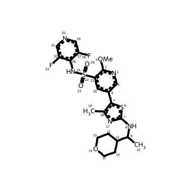 COc1ncc(-c2sc(NC(C)C3CCOCC3)nc2C)cc1S(=O)(=O)Nc1c(F)cncc1F